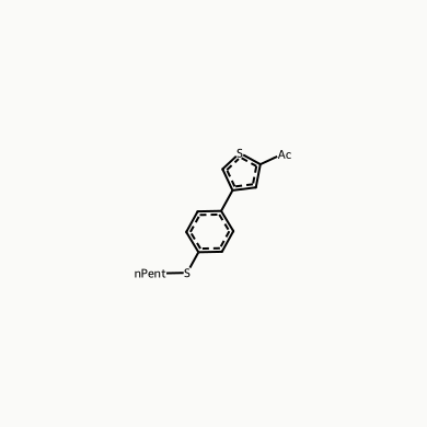 CCCCCSc1ccc(-c2csc(C(C)=O)c2)cc1